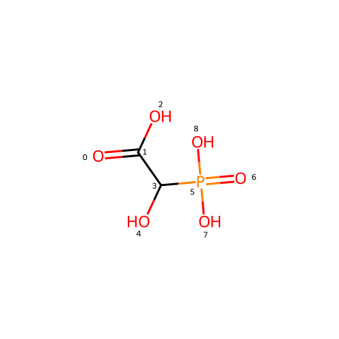 O=C(O)C(O)P(=O)(O)O